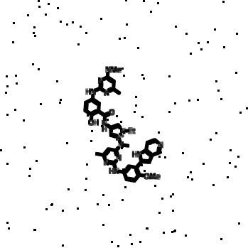 CCn1cc(NC(=O)c2cc(Nc3nc(C)cc(NC)n3)ccc2O)c[n+]1N(C)c1cc(C)nc(Nc2ccc(OC)c(-c3cc4cnccc4[nH]3)c2)n1